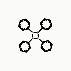 c1ccc(P2P(c3ccccc3)P(c3ccccc3)P2c2ccccc2)cc1